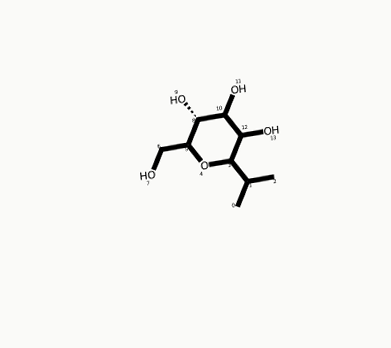 CC(C)C1OC(CO)[C@H](O)C(O)C1O